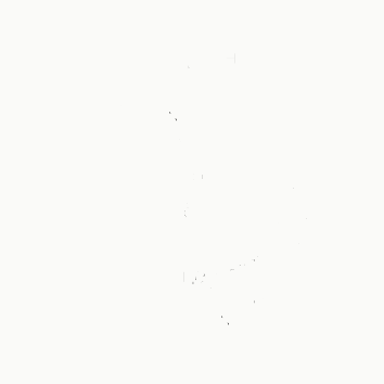 Cc1ccccc1-c1noc(C2CC2)c1COC1CC2CC[C@@H](C1)N2c1ccc(C2(C(=O)O)CC2)cc1